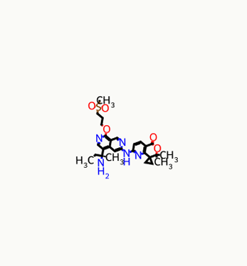 CC[C@@](C)(N)c1cnc(OCCCS(C)(=O)=O)c2cnc(Nc3ccc4c(n3)C3(CC3)C(C)(C)OC4=O)cc12